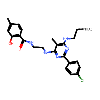 CC(=O)NCCNc1nc(-c2ccc(Cl)cc2)nc(NCCNC(=O)c2ccc(C)cc2O)c1C